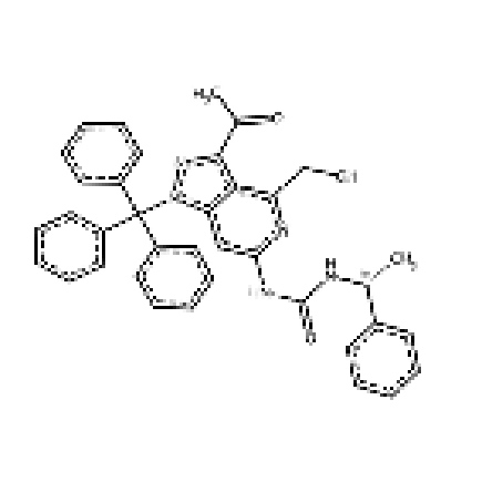 CC(=O)c1nn(C(c2ccccc2)(c2ccccc2)c2ccccc2)c2cc(NC(=O)N[C@H](C)c3ccccc3)nc(CO)c12